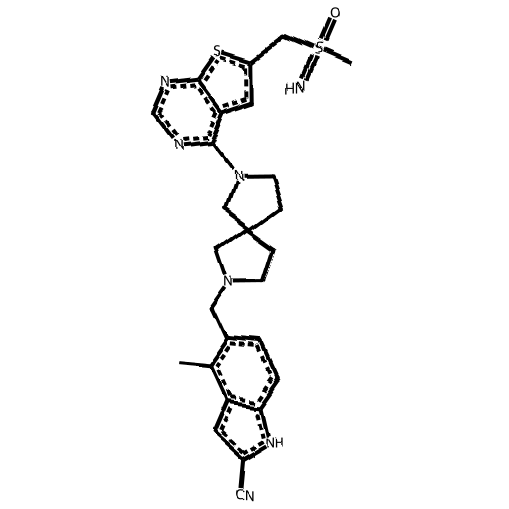 Cc1c(CN2CCC3(CCN(c4ncnc5sc(CS(C)(=N)=O)cc45)C3)C2)ccc2[nH]c(C#N)cc12